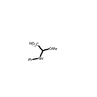 COC(NC(C)C)C(=O)O